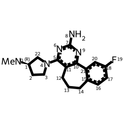 CN[C@@H]1CCN(c2nc(N)nc3c2CCCc2ccc(F)cc2-3)C1